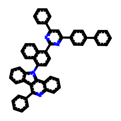 c1ccc(-c2ccc(-c3cc(-c4ccccc4)nc(-c4ccc(-n5c6ccccc6c6c(-c7ccccc7)nc7ccccc7c65)c5ccccc45)n3)cc2)cc1